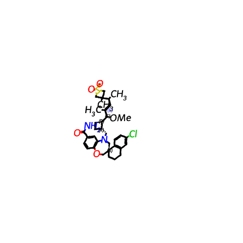 CO[C@H](/C(C)=C/C(C)C1(C)CS(=O)(=O)C1)[C@@H]1CC[C@H]1CN1C[C@@]2(CCCc3cc(Cl)ccc32)COc2ccc(C(N)=O)cc21